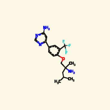 CC(C)CC(C)(N)COc1ccc(-c2cc(N)ncn2)cc1C(F)(F)F